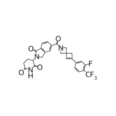 O=C1CCC(N2Cc3cc(C(=O)N4CC5(C=C(c6ccc(C(F)(F)F)c(F)c6)C5)C4)ccc3C2=O)C(=O)N1